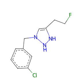 FCCC1=CN(Cc2cccc(Cl)c2)NN1